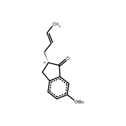 CC=CC[C@H]1Cc2ccc(OCC(C)C)cc2C1=O